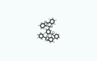 O=P1(c2ccccc2)c2cc(-c3nc4ccccc4c4nc5ccccc5n34)ccc2-n2c(-c3ccccc3)nc3cccc1c32